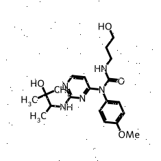 COc1ccc(N(C(=O)NCCCO)c2ccnc(NC(C)C(C)(C)O)n2)cc1